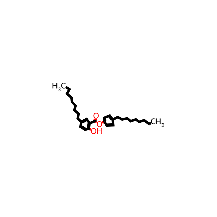 CCCCCCCCCc1ccc(OC(=O)c2cc(CCCCCCCCC)ccc2O)cc1